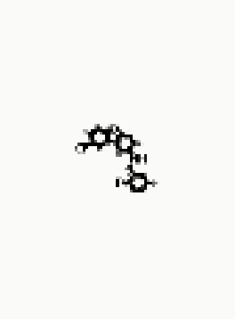 Fc1ccc(F)c(CNc2ccc3oc4ccc(Cl)cc4c3c2)c1